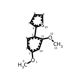 COc1ccc(-c2cccs2)c(OC)c1